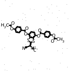 [C-]#[N+]C(C#N)=C1Sc2c(OC(=O)c3ccc(OC(C)=O)cc3)ccc(OC(=O)c3ccc(OC(C)=O)cc3)c2S1